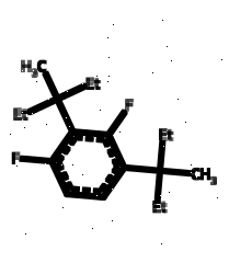 CCC(C)(CC)c1ccc(F)c(C(C)(CC)CC)c1F